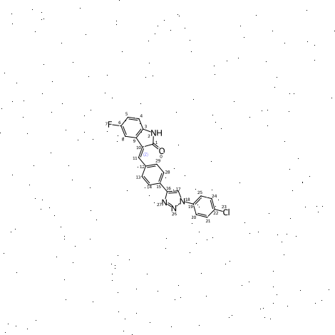 O=C1Nc2ccc(F)cc2/C1=C/c1ccc(-c2cn(-c3ccc(Cl)cc3)nn2)cc1